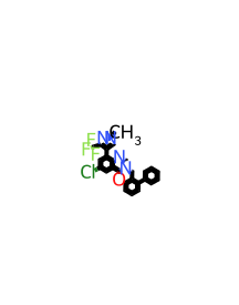 Cn1cc(-c2cc(Cl)cc3c(=O)n(Cc4ccccc4-c4ccccc4)cnc23)c(C(F)(F)F)n1